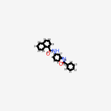 O=C(Nc1ccc2oc(-c3ccccc3)nc2c1)c1cccc2ccccc12